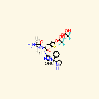 CC(C)(N)C(=O)N[C@H](Cc1ccsc1)C(=O)Nc1cn(C(C=O)(c2ccccc2)C2CCCN2)cn1.O=C(O)C(F)(F)F.O=C(O)C(F)(F)F